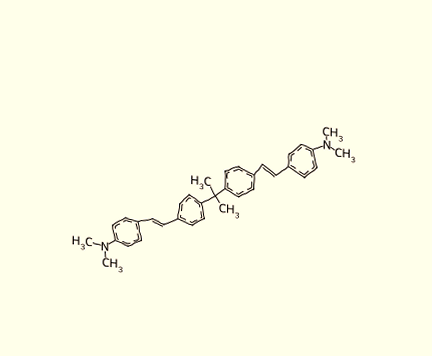 CN(C)c1ccc(/C=C/c2ccc(C(C)(C)c3ccc(/C=C/c4ccc(N(C)C)cc4)cc3)cc2)cc1